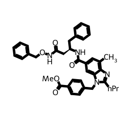 CCCc1nc2c(C)cc(C(=O)N[C@@H](CC(=O)NOCc3ccccc3)Cc3ccccc3)cc2n1Cc1ccc(C(=O)OC)cc1